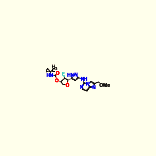 COCc1cn2c(Nc3cc([C@@H]4OC[C@H](OC(=O)NC5(C)CC5)[C@H]4F)[nH]n3)nccc2n1